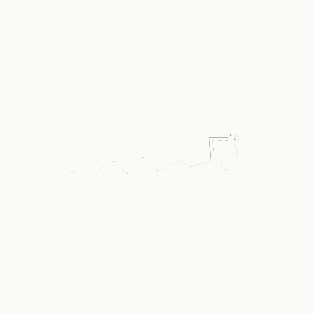 O=S(=O)(O)CCCCCCc1cc[nH]c1